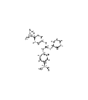 C[N+](=O)c1ccc(CN(Cc2ccccc2)Cc2ccc([N+](=O)[O-])cc2)cc1